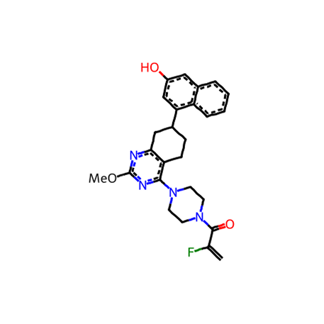 C=C(F)C(=O)N1CCN(c2nc(OC)nc3c2CCC(c2cc(O)cc4ccccc24)C3)CC1